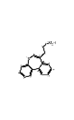 O=C(O)CCC1=CSc2ccccc2-c2ccccc21